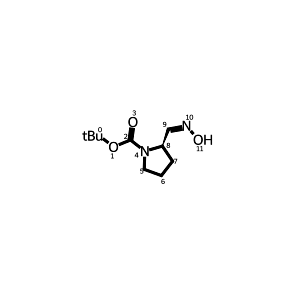 CC(C)(C)OC(=O)N1CCC[C@@H]1/C=N\O